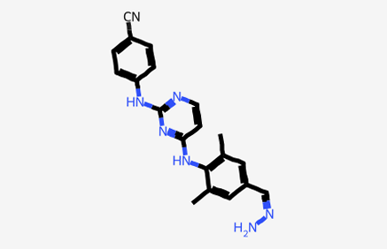 Cc1cc(/C=N\N)cc(C)c1Nc1ccnc(Nc2ccc(C#N)cc2)n1